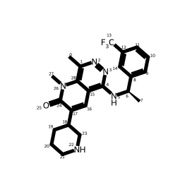 Cc1nnc(N[C@H](C)c2cccc(C(F)(F)F)c2)c2cc(C3CCCNC3)c(=O)n(C)c12